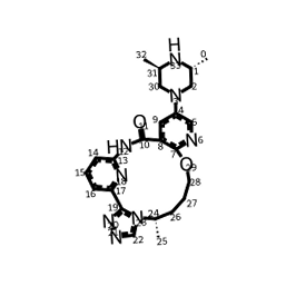 C[C@@H]1CN(c2cnc3c(c2)C(=O)Nc2cccc(n2)-c2nncn2[C@@H](C)CCCO3)C[C@@H](C)N1